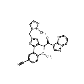 COc1ccc(C#N)cc1-c1nn(Cc2ccnn2C)cc1NC(=O)c1cnn2cccnc12